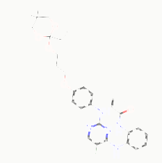 C=CC(=O)Nc1ccccc1Nc1nc(Nc2ccc(OCCCOC3(CC)OCC(C)(C)CO3)cc2)ncc1F